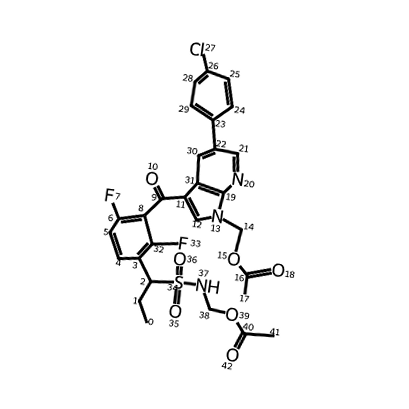 CCC(c1ccc(F)c(C(=O)c2cn(COC(C)=O)c3ncc(-c4ccc(Cl)cc4)cc23)c1F)S(=O)(=O)NCOC(C)=O